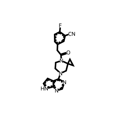 N#Cc1cc(CC(=O)N2CCN(c3ncnc4[nH]ccc34)CC23CC3)ccc1F